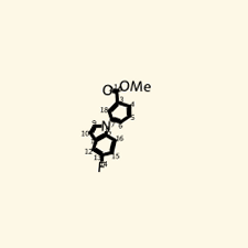 COC(=O)c1cccc(-n2ccc3cc(F)ccc32)c1